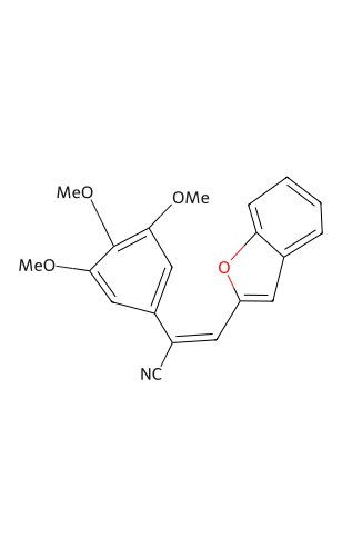 COc1cc(C(C#N)=Cc2cc3ccccc3o2)cc(OC)c1OC